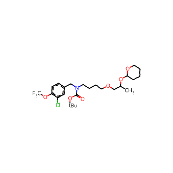 CC(COCCCCN(Cc1ccc(OC(F)(F)F)c(Cl)c1)C(=O)OC(C)(C)C)OC1CCCCO1